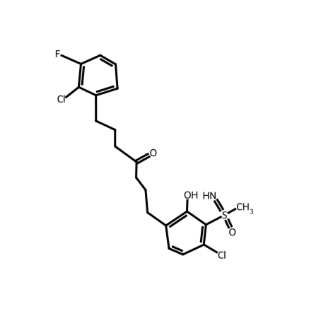 CS(=N)(=O)c1c(Cl)ccc(CCCC(=O)CCCc2cccc(F)c2Cl)c1O